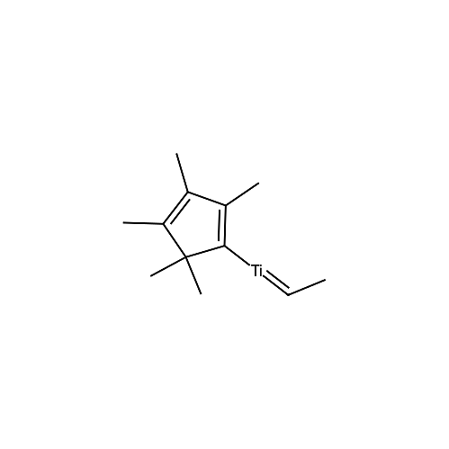 C[CH]=[Ti][C]1=C(C)C(C)=C(C)C1(C)C